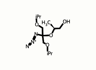 CC(C)OCC(COC(C)C)(N=[N+]=[N-])O[C@@H](C)CO